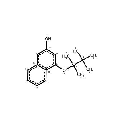 CC(C)(C)[Si](C)(C)Oc1cc(O)cc2ccccc12